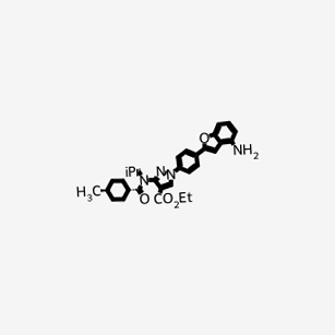 CCOC(=O)c1cn(-c2ccc(-c3cc4c(N)cccc4o3)cc2)nc1N(C(=O)[C@H]1CC[C@H](C)CC1)C(C)C